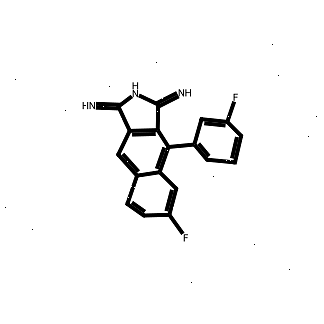 N=C1NC(=N)c2c1cc1ccc(F)cc1c2-c1cccc(F)c1